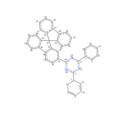 C1=CCC(c2nc(-c3ccccc3)nc(-c3ccc4c(c3)C3(c5ccccc5-c5ccccc53)c3ccccc3-4)n2)C=C1